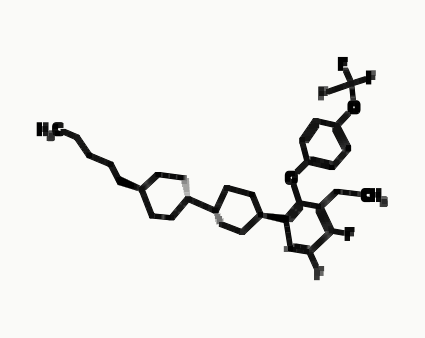 CCCCC[C@H]1CC[C@H]([C@H]2CC[C@H](c3[c]c(F)c(F)c(CC)c3Oc3ccc(OC(F)(F)F)cc3)CC2)CC1